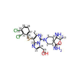 Cc1nc(N2CCC3(CC2)C(N)C(C)O[C@H]3N)n2c(CO)cnc2c1Sc1cccc(Cl)c1Cl